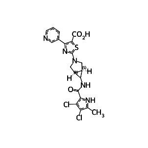 Cc1[nH]c(C(=O)NC2[C@H]3CN(c4nc(-c5cccnc5)c(C(=O)O)s4)C[C@@H]23)c(Cl)c1Cl